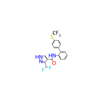 O=C(Nc1ccccc1-c1ccc(SC(F)(F)F)cc1)c1c[nH]nc1C(F)F